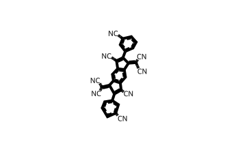 N#CC(C#N)=C1C(c2cccc(C#N)c2)=C(C#N)c2cc3c(cc21)C(C#N)=C(c1cccc(C#N)c1)C3=C(C#N)C#N